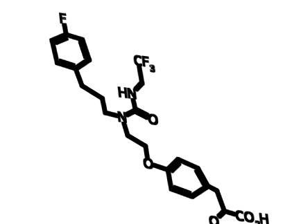 CCOC(Cc1ccc(OCCN(CCCc2ccc(F)cc2)C(=O)NCC(F)(F)F)cc1)C(=O)O